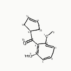 COc1cccc(O)c1C(=O)C1CC=CC1